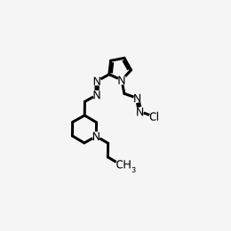 CCCN1CCCC(CN=Nc2cccn2CN=NCl)C1